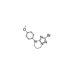 COc1ccc(N2CCCn3nc(Br)nc32)cc1